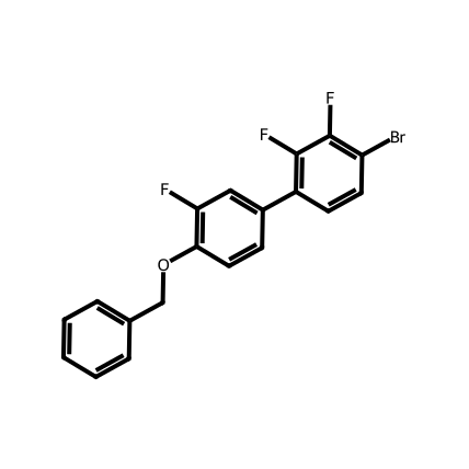 Fc1cc(-c2ccc(Br)c(F)c2F)ccc1OCc1ccccc1